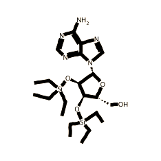 CC[Si](CC)(CC)O[C@@H]1[C@H](O[Si](CC)(CC)CC)[C@@H](CO)O[C@H]1n1cnc2c(N)ncnc21